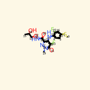 CSc1ccc(Nc2c(C(=O)NOCC(C)O)nn(C)c(=O)c2F)c(F)c1